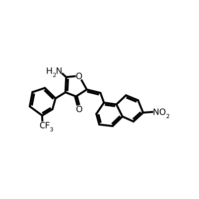 NC1=C(c2cccc(C(F)(F)F)c2)C(=O)C(=Cc2cccc3cc([N+](=O)[O-])ccc23)O1